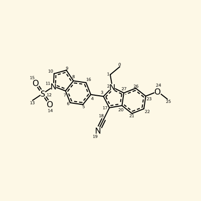 CCn1c(-c2ccc3c(ccn3S(C)(=O)=O)c2)c(C#N)c2ccc(OC)cc21